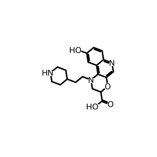 O=C(O)C1CN(CCC2CCNCC2)c2c(cnc3ccc(O)cc23)O1